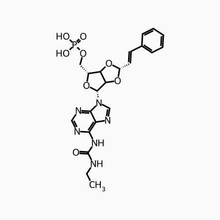 CCNC(=O)Nc1ncnc2c1ncn2[C@@H]1O[C@H](COP(=O)(O)O)C2O[C@H](/C=C/c3ccccc3)OC21